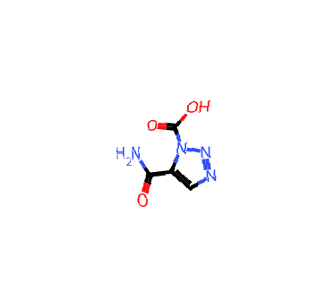 NC(=O)c1cnnn1C(=O)O